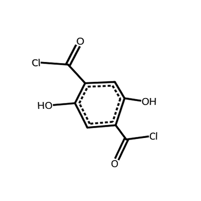 O=C(Cl)c1cc(O)c(C(=O)Cl)cc1O